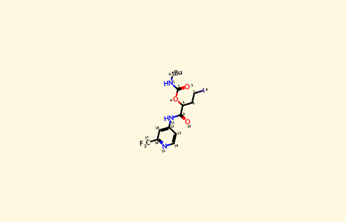 CC(C)(C)NC(=O)OC(CCI)C(=O)Nc1ccnc(C(F)(F)F)c1